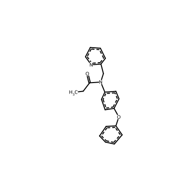 CCC(=O)N(Cc1ccccn1)c1ccc(Oc2ccccc2)cc1